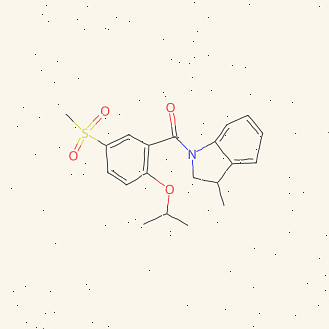 CC(C)Oc1ccc(S(C)(=O)=O)cc1C(=O)N1CC(C)c2ccccc21